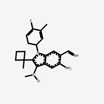 CC1=CC(n2c(C3(C)CCC3)c([S+](C)[O-])c3cc(N)c(C=N)cc32)CC=C1F